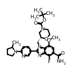 COc1cc(C(N)=O)c(F)c2nc(-c3ccc(N4CCCC4C)nc3)n(C[C@@H]3CN(C(=O)OC(C)(C)C)CCO3)c12